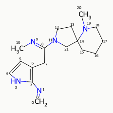 C=Nc1[nH]ccc1C/C(=N\C)N1CCC2(CCCCN2C)C1